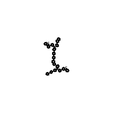 c1ccc(-c2ccc(-c3ccc(N(c4cccc(-c5ccc6ccc(-c7ccc(-c8ccc(-c9ccc(N(c%10cccc(-c%11ccc%12ccccc%12c%11)c%10)c%10cccc(-c%11cccc%12c%11sc%11ccccc%11%12)c%10)cc9)cc8)cc7)cc6c5)c4)c4cccc(-c5ccc6sc7ccccc7c6c5)c4)cc3)cc2)cc1